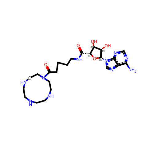 Nc1ncnc2c1ncn2[C@@H]1O[C@H](C(=O)NCCCCC(=O)N2CCNCCNCCNCC2)[C@@H](O)[C@H]1O